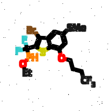 CCOPC(F)(F)c1sc2c(OCCCC(F)(F)F)cc(SC)cc2c1Br